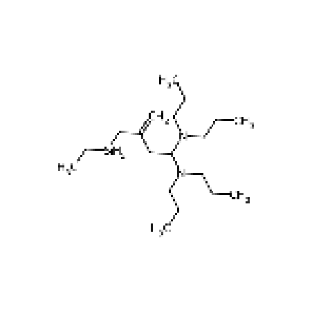 C=C(C[SiH2]CC)CC(N(CCC)CCC)N(CCC)CCC